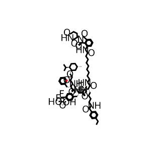 CCc1ccc(C(=O)NCCCC[C@H](NC(=O)[C@H](Cc2ccc(C(F)(F)P(=O)(O)O)cc2)NC(=O)[C@H](Cc2ccccc2)NC(=O)CO[C@H]2C[C@@H](C)CC[C@@H]2C(C)C)C(=O)NCCCCCCCCC(=O)Nc2cccc3c2C(=O)N(C2CCC(=O)NC2=O)C3=O)cc1